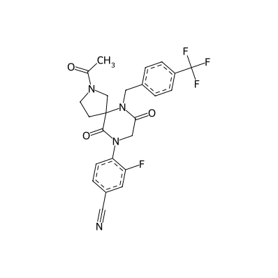 CC(=O)N1CCC2(C1)C(=O)N(c1ccc(C#N)cc1F)CC(=O)N2Cc1ccc(C(F)(F)F)cc1